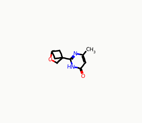 Cc1cc(=O)[nH]c(C23COC(C2)C3)n1